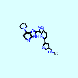 CCNCc1cncc(-c2ccc3[nH]nc(-c4nc5c(N6CCCCC6)ccnc5[nH]4)c3n2)c1